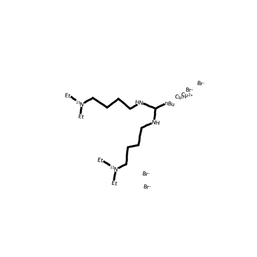 CCCCC(NCCCC[15N](CC)CC)NCCCC[15N](CC)CC.[Br-].[Br-].[Br-].[Br-].[Cu+2].[Cu+2]